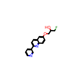 OC(CF)COc1ccc2nc(-c3cccnc3)ccc2c1